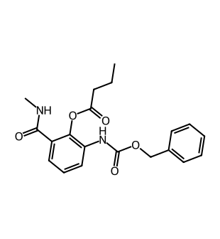 CCCC(=O)Oc1c(NC(=O)OCc2ccccc2)cccc1C(=O)NC